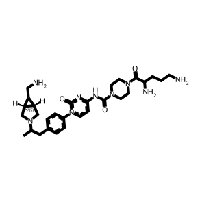 CC(Cc1ccc(-n2ccc(NC(=O)N3CCN(C(=O)C(N)CCCN)CC3)nc2=O)cc1)N1C[C@@H]2C(CN)[C@@H]2C1